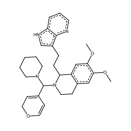 COc1cc2c(cc1OC)C(CCc1c[nH]c3cccnc13)N(C(C1=CCOC=C1)N1CCCCC1)CC2